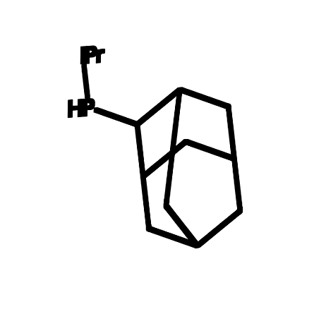 CC(C)PC1C2CC3CC(C2)CC1C3